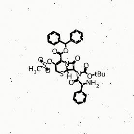 CC(C)(C)OC(=O)N(C(=O)C(N)c1ccccc1)C1C(=O)N2C(C(=O)OC(c3ccccc3)c3ccccc3)=C(OS(C)(=O)=O)CS[C@@H]12